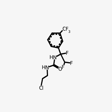 O=C(NCCCl)NC(F)(c1cccc(C(F)(F)F)c1)C(F)F